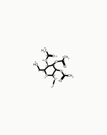 CC(=O)OC1C(OC(C)=O)[C@@H](SI)OC(CO)[C@H]1OC(C)=O